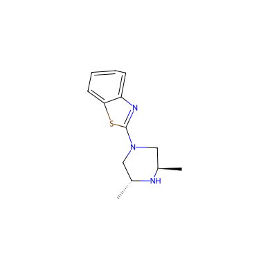 C[C@@H]1CN(c2nc3ccccc3s2)C[C@@H](C)N1